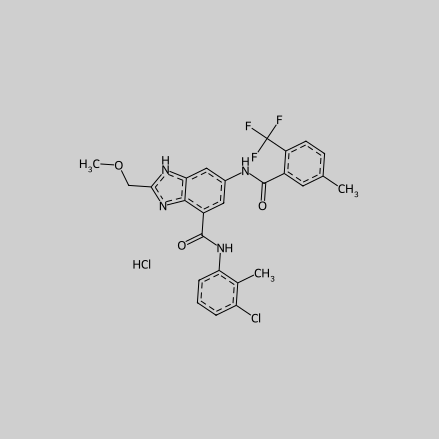 COCc1nc2c(C(=O)Nc3cccc(Cl)c3C)cc(NC(=O)c3cc(C)ccc3C(F)(F)F)cc2[nH]1.Cl